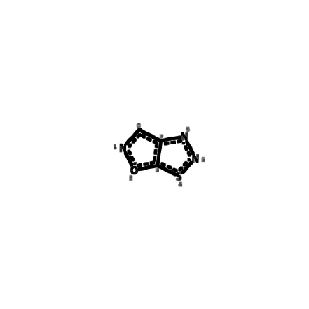 c1noc2snnc12